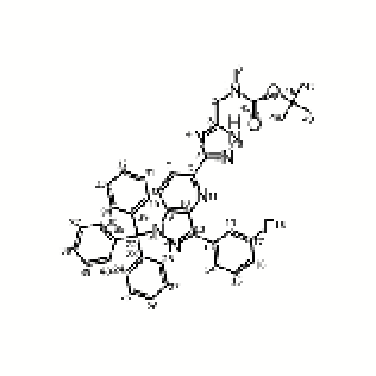 CN(Cc1nc(-c2ccc3c(n2)c(-c2cccc(F)c2)nn3C(c2ccccc2)(c2ccccc2)c2ccccc2)n[nH]1)C(=O)OC(C)(C)C